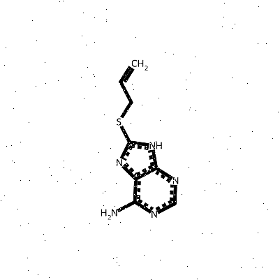 C=CCSc1nc2c(N)ncnc2[nH]1